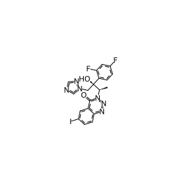 C[C@@H](n1nnc2ccc(I)cc2c1=O)[C@](O)(Cn1cncn1)c1ccc(F)cc1F